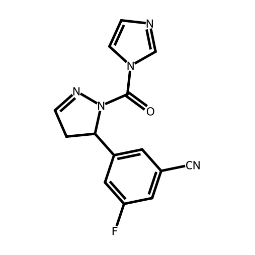 N#Cc1cc(F)cc(C2CC=NN2C(=O)n2ccnc2)c1